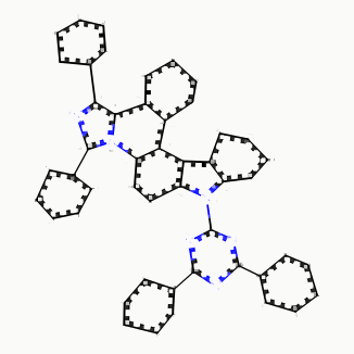 c1ccc(-c2nc(-c3ccccc3)nc(-n3c4ccccc4c4c5c6ccccc6c6c(-c7ccccc7)nc(-c7ccccc7)n6c5ccc43)n2)cc1